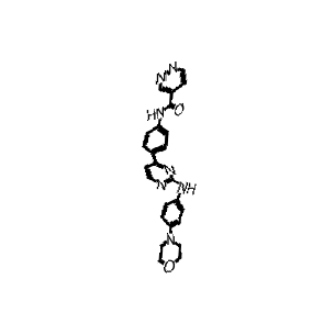 O=C(Nc1ccc(-c2ccnc(Nc3ccc(N4CCOCC4)cc3)n2)cc1)c1ccnnc1